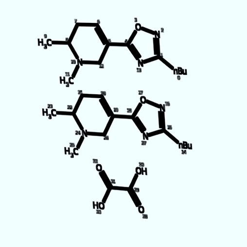 CCCCc1noc(C2=CCC(C)N(C)C2)n1.CCCCc1noc(C2=CCC(C)N(C)C2)n1.O=C(O)C(=O)O